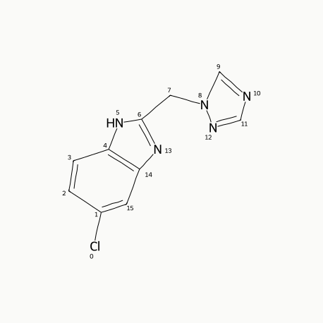 Clc1ccc2[nH]c(Cn3cncn3)nc2c1